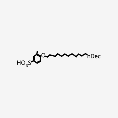 CCCCCCCCCCCCCCCCCCCCCCOc1ccc(S(=O)(=O)O)cc1C